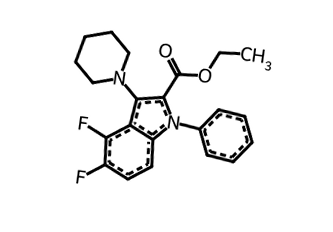 CCOC(=O)c1c(N2CCCCC2)c2c(F)c(F)ccc2n1-c1ccccc1